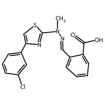 CN(N=Cc1ccccc1C(=O)O)c1nc(-c2cccc(Cl)c2)cs1